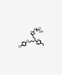 CCc1cnc(N(CCCOc2ccc(Cl)cc2)CCc2csc(SC(C)(C)C(=O)O)n2)nc1